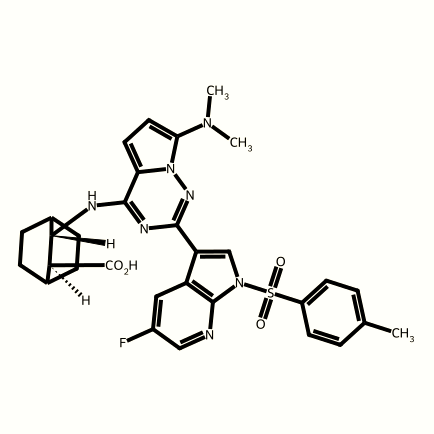 Cc1ccc(S(=O)(=O)n2cc(-c3nc(N[C@H]4C5CCC(CC5)[C@@H]4C(=O)O)c4ccc(N(C)C)n4n3)c3cc(F)cnc32)cc1